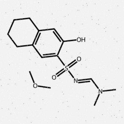 CN(C)/C=N/S(=O)(=O)c1cc2c(cc1O)CCCC2.COC